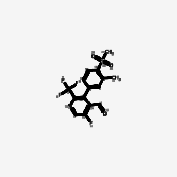 Cc1cc(-c2c(C(F)(F)F)ncc(F)c2C=O)ccc1S(C)(=O)=O